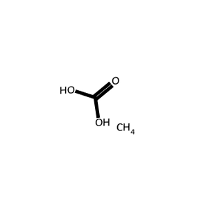 C.O=C(O)O